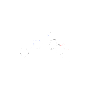 CCN(CC)c1cc2oc(=O)c(C(=O)O)cc2cc1-n1cc(-c2ccccc2)nn1